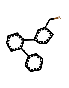 BrCc1cccc(-c2ccccc2-c2ccccc2)c1